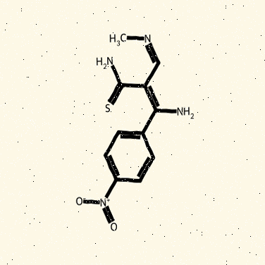 C/N=C\C(C(N)=S)=C(/N)c1ccc([N+](=O)[O-])cc1